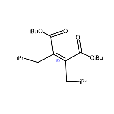 CC(C)COC(=O)/C(CC(C)C)=C(/CC(C)C)C(=O)OCC(C)C